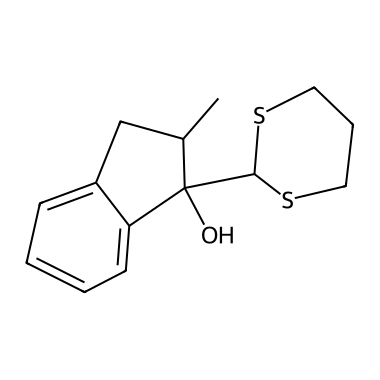 CC1Cc2ccccc2C1(O)C1SCCCS1